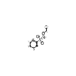 [O]CO[N]S(=O)(=O)c1ccccc1